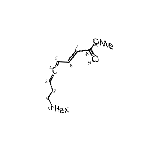 CCCCCCCCC=C=CC=CC(=O)OC